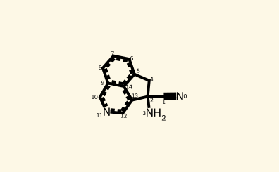 N#CC1(N)Cc2cccc3cncc1c23